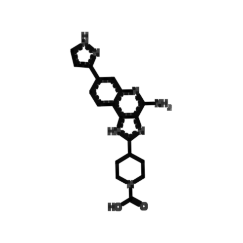 Nc1nc2cc(-c3cc[nH]n3)ccc2c2[nH]c(C3CCN(C(=O)O)CC3)nc12